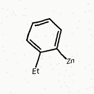 CCc1cccc[c]1[Zn]